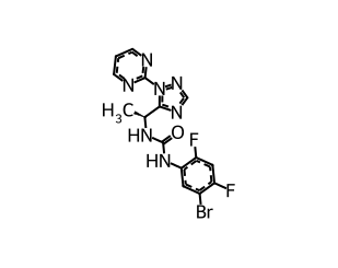 C[C@H](NC(=O)Nc1cc(Br)c(F)cc1F)c1ncnn1-c1ncccn1